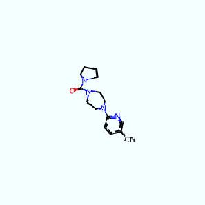 N#Cc1ccc(N2CCN(C(=O)N3CCCC3)CC2)nc1